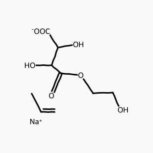 C=CC.O=C([O-])C(O)C(O)C(=O)OCCO.[Na+]